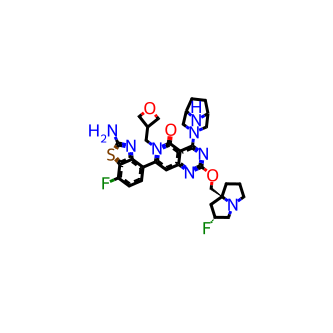 Nc1nc2c(-c3cc4nc(OC[C@@]56CCCN5C[C@H](F)C6)nc(N5CC6CCC(C5)N6)c4c(=O)n3CC3COC3)ccc(F)c2s1